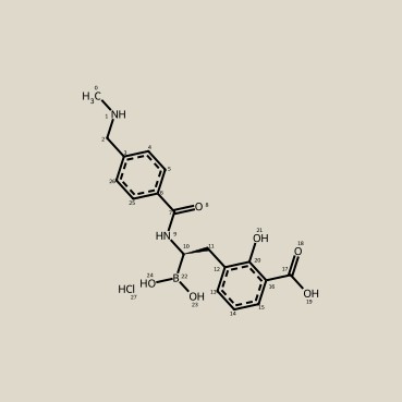 CNCc1ccc(C(=O)N[C@@H](Cc2cccc(C(=O)O)c2O)B(O)O)cc1.Cl